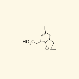 CC1(C)Cc2cc(I)cc(CC(=O)O)c2O1